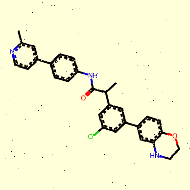 Cc1cc(-c2ccc(NC(=O)C(C)c3cc(Cl)cc(-c4ccc5c(c4)NCCO5)c3)cc2)ccn1